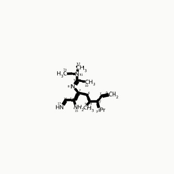 C=CC(C(C)C)C(C)CC(/N=C(\C)N(C)C)=C(\N)C=N